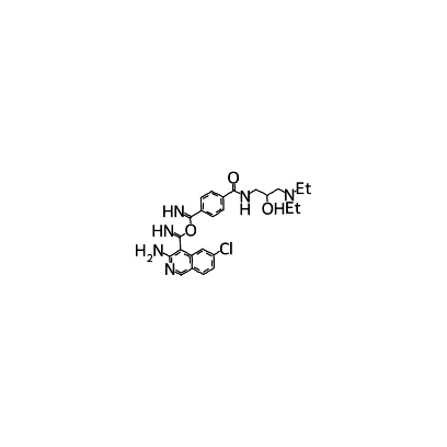 CCN(CC)CC(O)CNC(=O)c1ccc(C(=N)OC(=N)c2c(N)ncc3ccc(Cl)cc23)cc1